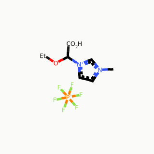 CCOC(C(=O)O)[n+]1ccn(C)c1.F[P-](F)(F)(F)(F)F